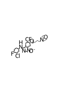 [O-][n+]1cnc(Nc2ccc(F)c(Cl)c2)c2cc(C(F)(F)F)c(OCCCN3CCOCC3)cc21